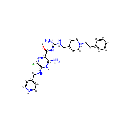 N/C(=N\C(=O)c1nc(Cl)c(NCc2ccncc2)nc1N)NCC1CCN(CCc2ccccc2)CC1